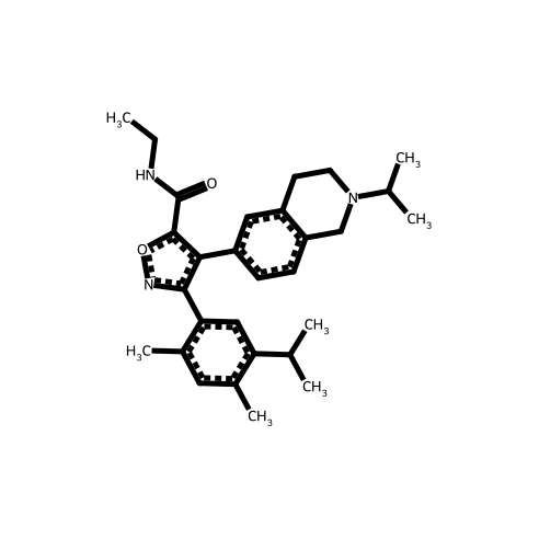 CCNC(=O)c1onc(-c2cc(C(C)C)c(C)cc2C)c1-c1ccc2c(c1)CCN(C(C)C)C2